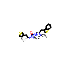 C[C@H](Cc1ccsc1)NC(=O)NC[C@H](Cc1csc2ccccc12)N(C)C